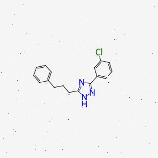 Clc1cccc(-c2n[nH]c([CH]CCc3ccccc3)n2)c1